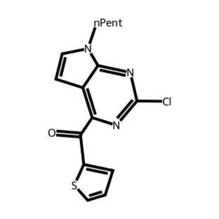 CCCCCn1ccc2c(C(=O)c3cccs3)nc(Cl)nc21